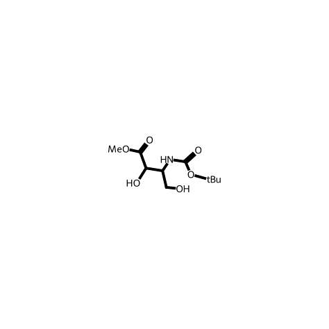 COC(=O)C(O)C(CO)NC(=O)OC(C)(C)C